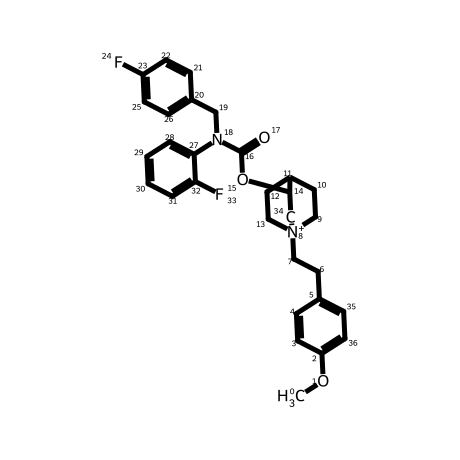 COc1ccc(CC[N+]23CCC(CC2)C(OC(=O)N(Cc2ccc(F)cc2)c2ccccc2F)C3)cc1